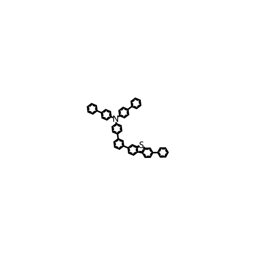 c1ccc(-c2ccc(N(c3ccc(-c4ccccc4)cc3)c3ccc(-c4cccc(-c5ccc6c(c5)sc5cc(-c7ccccc7)ccc56)c4)cc3)cc2)cc1